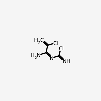 C=C(Cl)/C(N)=N\C(=N)Cl